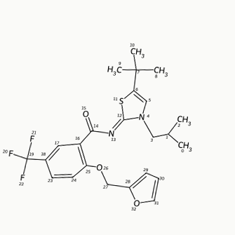 CC(C)Cn1cc(C(C)(C)C)sc1=NC(=O)c1cc(C(F)(F)F)ccc1OCc1ccco1